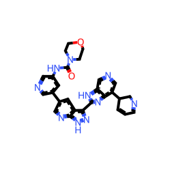 O=C(Nc1cncc(-c2cnc3[nH]nc(-c4nc5c(C6C=CC=NC6)cncc5[nH]4)c3c2)c1)N1CCOCC1